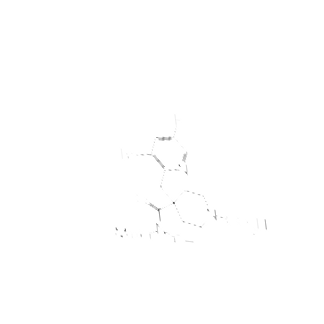 CON(C)C(=O)C1(Cc2ncc(F)cc2Br)CCN(C(=O)O)CC1